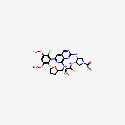 C=CC(=O)N[C@H]1CN(C(C)=O)C[C@H]1Nc1ncc2cc(-c3c(Cl)c(OC)cc(OC)c3Cl)nc(NCC3CCCO3)c2n1